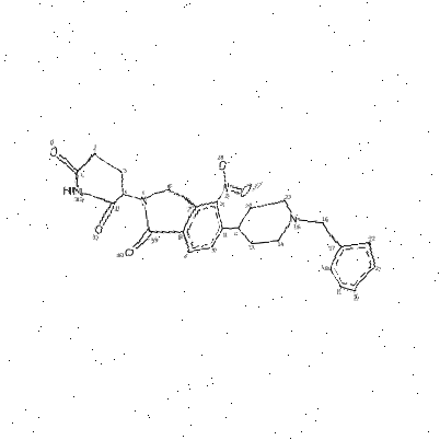 O=C1CCC(N2Cc3c(ccc(C4CCN(Cc5ccccc5)CC4)c3[N+](=O)[O-])C2=O)C(=O)N1